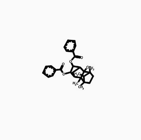 CC1C2(C)CCC1(C)C1(C)C3CC(C(OC(=O)c4ccccc4)C3OC(=O)c3ccccc3)C21C